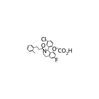 Cc1ccccc1CCC(=O)N1CCc2cc(F)ccc2C1c1cc(Cl)ccc1OCC(=O)O